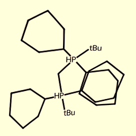 CC(C)(C)[PH](C[PH](C1CCCCC1)(C1CCCCC1)C(C)(C)C)(C1CCCCC1)C1CCCCC1